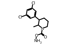 CC1C(c2cc(Cl)cc(Cl)c2)CCCN1C(=O)ON